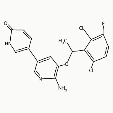 CC(Oc1cc(-c2ccc(=O)[nH]c2)cnc1N)c1c(Cl)ccc(F)c1Cl